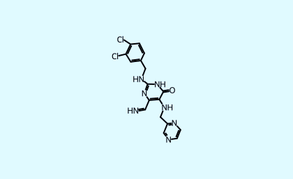 N=Cc1nc(NCc2ccc(Cl)c(Cl)c2)[nH]c(=O)c1NCc1cnccn1